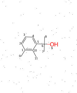 Cc1cccc(C(C)(C)O)c1C